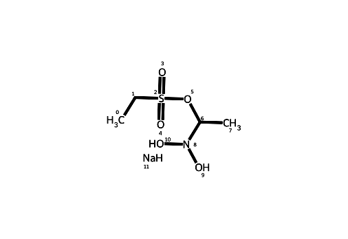 CCS(=O)(=O)OC(C)N(O)O.[NaH]